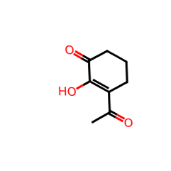 CC(=O)C1=C(O)C(=O)CCC1